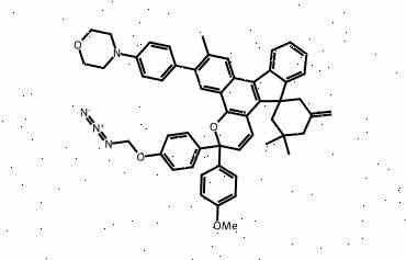 C=C1CC(C)(C)CC2(C1)c1ccccc1-c1c2c2c(c3cc(-c4ccc(N5CCOCC5)cc4)c(C)cc13)OC(c1ccc(OC)cc1)(c1ccc(OCN=[N+]=[N-])cc1)C=C2